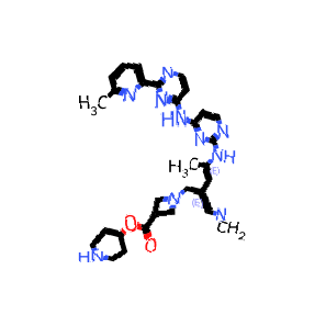 C=N/C=C(\C=C(/C)Nc1nccc(Nc2ccnc(-c3cccc(C)n3)n2)n1)CN1CC(C(=O)OC2CCNCC2)C1